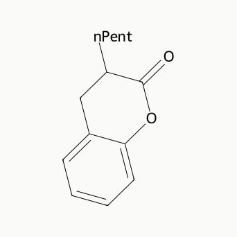 CCCCCC1Cc2ccccc2OC1=O